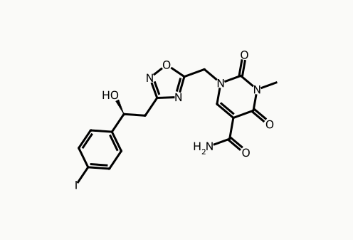 Cn1c(=O)c(C(N)=O)cn(Cc2nc(C[C@H](O)c3ccc(I)cc3)no2)c1=O